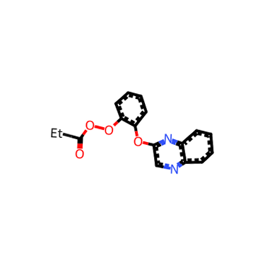 CCC(=O)OOc1ccccc1Oc1cnc2ccccc2n1